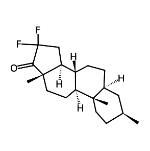 C[C@H]1CC[C@@]2(C)[C@@H](CC[C@@H]3[C@@H]2CC[C@]2(C)C(=O)C(F)(F)C[C@@H]32)C1